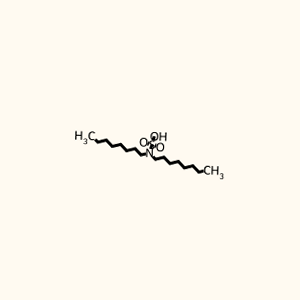 CCCCCCCCN(CCCCCCCC)S(=O)(=O)O